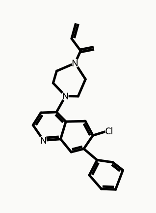 C=CC(=C)N1CCN(c2ccnc3cc(-c4ccccc4)c(Cl)cc23)CC1